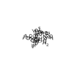 CC(C)OC(=O)[C@H](C)N[PH](S)(N[C@@H](C)C(=O)OC(C)C)OC[C@@]1(C(F)F)O[C@@H](n2cnc3c(=O)[nH]c(N)nc32)[C@@H](F)[C@@H]1O